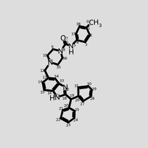 Cc1ccc(NC(=O)N2CCN(Cc3ccc4[nH]c(C(c5ccccc5)c5ccccc5)nc4c3)CC2)cc1